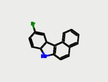 BrC1=CC2c3c(ccc4ccccc34)NC2C=C1